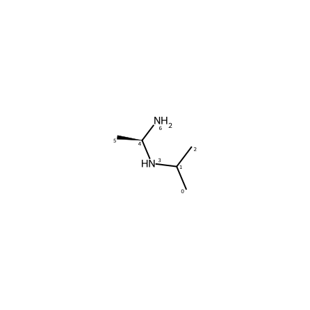 CC(C)N[C@@H](C)N